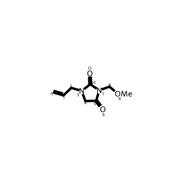 C=CCN1CC(=O)N(COC)C1=O